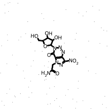 NC(=O)Cn1nc([N+](=O)[O-])c2nnn(C3OC(CO)C(O)C3O)c(=O)c21